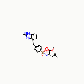 COC(=O)[C@H](CC(C)C)NS(=O)(=O)c1ccc(Cc2cccc3[nH]c(C)nc23)cc1